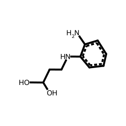 Nc1ccccc1NCCC(O)O